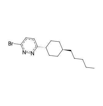 CCCCC[C@H]1CC[C@H](c2ccc(Br)nn2)CC1